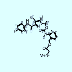 CNCC(=O)OCc1cccnc1N(C)C(=O)OC(C)n1nc(C(=O)Nc2ccc(F)cc2F)c(Br)c1Cl